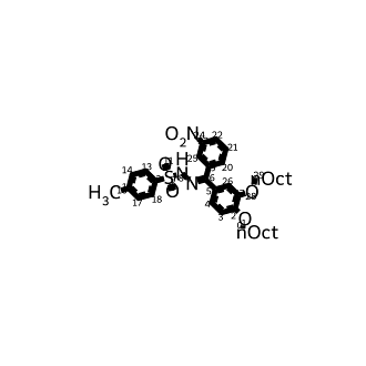 CCCCCCCCOc1ccc(C(=NNS(=O)(=O)c2ccc(C)cc2)c2cccc([N+](=O)[O-])c2)cc1OCCCCCCCC